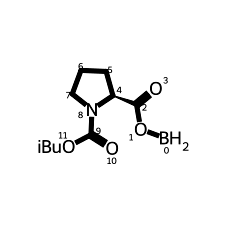 BOC(=O)[C@@H]1CCCN1C(=O)OCC(C)C